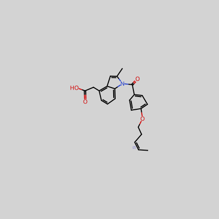 C/C=C\CCOc1ccc(C(=O)n2c(C)cc3c(CC(=O)O)cccc32)cc1